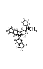 CN(c1ccccc1)c1ccc2c(c1)c1cc3ccccc3cc1n2-c1ccc2ccccc2c1